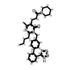 CCCCc1nc(C)c(CCC(=O)N2CCCCC2)c(=O)n1Cc1ccc(-c2ccccc2-c2nnn[nH]2)cc1